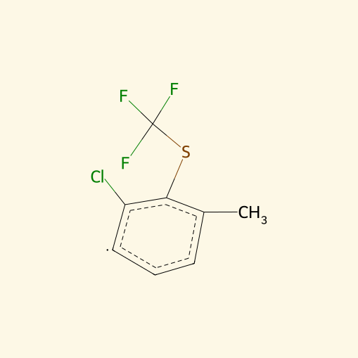 Cc1cc[c]c(Cl)c1SC(F)(F)F